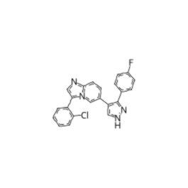 Fc1ccc(-c2n[nH]cc2-c2ccc3ncc(-c4ccccc4Cl)n3c2)cc1